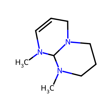 CN1C=CCN2CCCN(C)C12